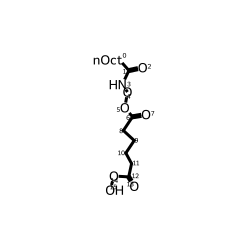 CCCCCCCCC(=O)NOOC(=O)CCCCC(=O)OO